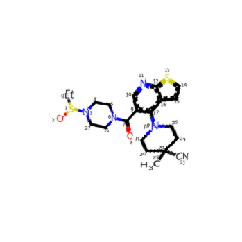 CC[S+]([O-])N1CCN(C(=O)c2cnc3sccc3c2N2CCC(C)(C#N)CC2)CC1